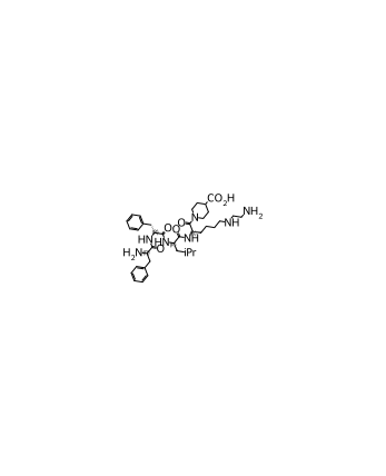 CC(C)C[C@@H](NC(=O)[C@@H](Cc1ccccc1)NC(=O)[C@H](N)Cc1ccccc1)C(=O)N[C@H](CCCCNCCN)C(=O)N1CCC(C(=O)O)CC1